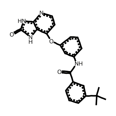 CC(C)(C)c1cccc(C(=O)Nc2cccc(Oc3ccnc4[nH]c(=O)[nH]c34)c2)c1